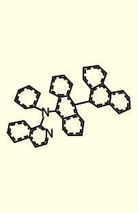 c1ccc(N(c2nccc3ccccc23)c2c3ccccc3c(-c3cc4ccccc4c4ccccc34)c3ccccc23)cc1